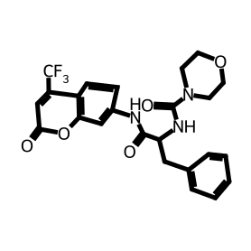 O=C(Nc1ccc2c(C(F)(F)F)cc(=O)oc2c1)C(Cc1ccccc1)NC(=O)N1CCOCC1